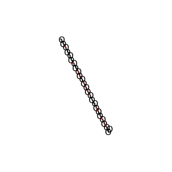 COCCOCCOCCOCCOCCOCCOCCOCCOCCOCCOCCOCCOCCOCCOCCOCCOCCOCCOCCOCCOCCOCCOCC(=O)OC